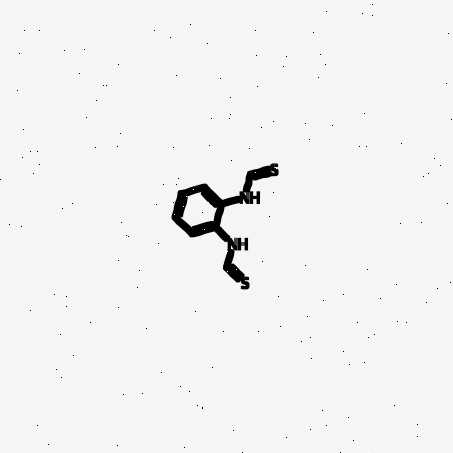 S=CNc1ccccc1NC=S